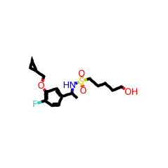 CC(NS(=O)(=O)CCCCCO)c1ccc(F)c(OCC2CC2)c1